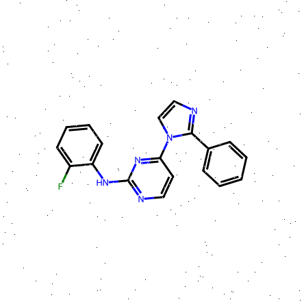 Fc1ccccc1Nc1nccc(-n2ccnc2-c2ccccc2)n1